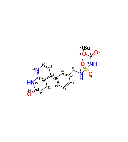 CC(C)(C)OC(=O)NS(=O)(=O)NCc1cccc(-c2ccnc3c2CCC(=O)N3)c1